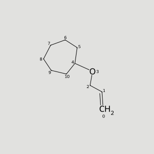 C=CCOC1CCCCCC1